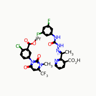 C/C(=N\NC(=O)Nc1cc(F)cc(F)c1)c1ncccc1C(=O)O.CC(C)OC(=O)c1cc(-n2c(=O)cc(C(F)(F)F)n(C)c2=O)ccc1Cl